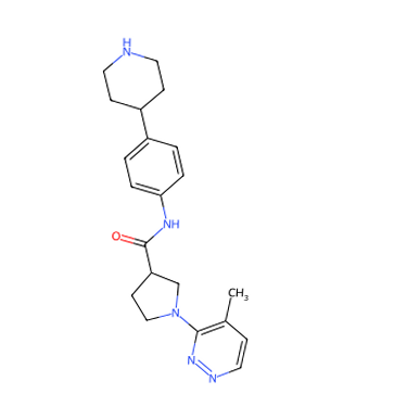 Cc1ccnnc1N1CCC(C(=O)Nc2ccc(C3CCNCC3)cc2)C1